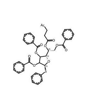 CC(=O)CCC(=O)O[C@H](COC(=O)c1ccccc1)[C@@H]1O[C@@H](Sc2ccccc2)C(OC(=O)c2ccccc2)C1OC(=O)c1ccccc1